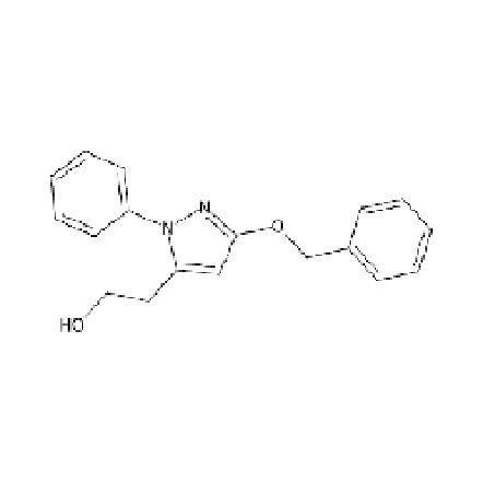 OCCc1cc(OCc2ccccc2)nn1-c1ccccc1